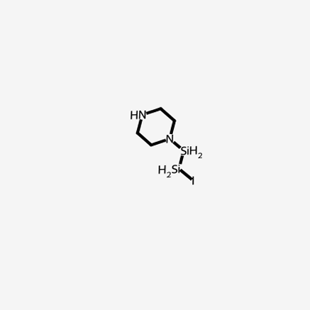 I[SiH2][SiH2]N1CCNCC1